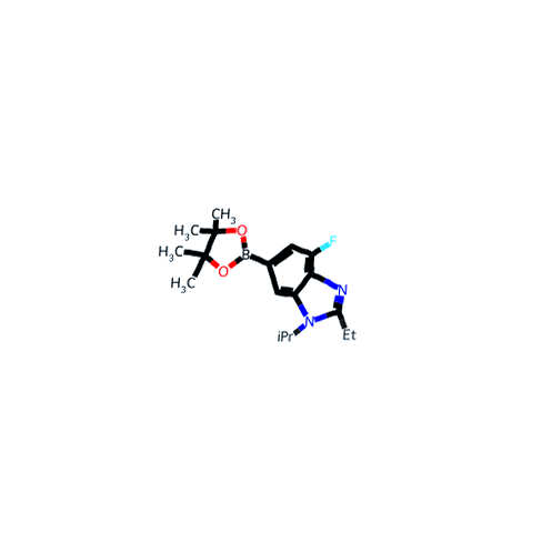 CCc1nc2c(F)cc(B3OC(C)(C)C(C)(C)O3)cc2n1C(C)C